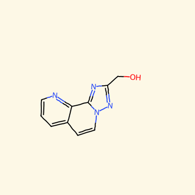 OCc1nc2c3ncccc3ccn2n1